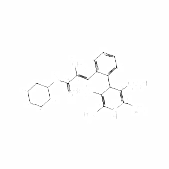 CC1=C(C(=O)O)C(c2ccccc2/C=C(\C)C(=O)OC2CCCCC2)C(C(=O)O)=C(C)N1